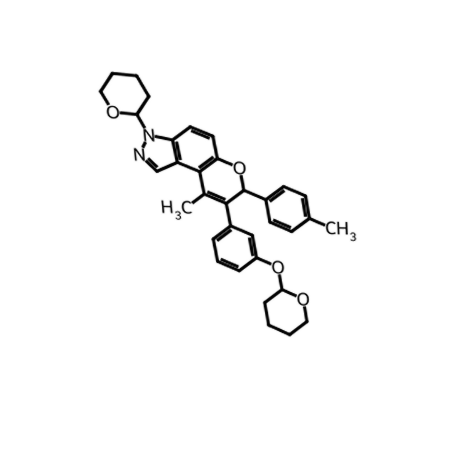 CC1=C(c2cccc(OC3CCCCO3)c2)C(c2ccc(C)cc2)Oc2ccc3c(cnn3C3CCCCO3)c21